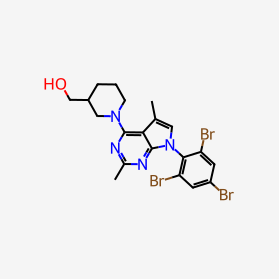 Cc1nc(N2CCCC(CO)C2)c2c(C)cn(-c3c(Br)cc(Br)cc3Br)c2n1